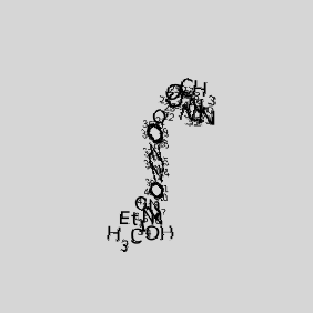 CC[C@@H]([C@H](C)O)n1ncn(-c2ccc(N3CCN(c4ccc(OC[C@@H]5CO[C@](C)(Cn6cncn6)C5)cc4)CC3)cc2)c1=O